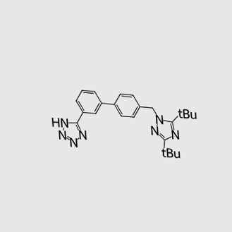 CC(C)(C)c1nc(C(C)(C)C)n(Cc2ccc(-c3cccc(-c4nnn[nH]4)c3)cc2)n1